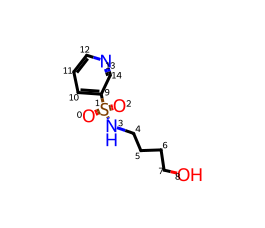 O=S(=O)(NCCCCO)c1cccnc1